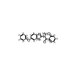 O=C(Nc1nc2ccc(Oc3ccccc3)cc2s1)c1ncccc1O